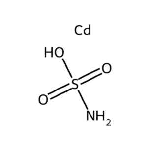 NS(=O)(=O)O.[Cd]